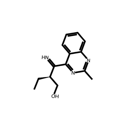 CC[C@H](CO)C(=N)c1nc(C)nc2ccccc12